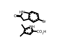 Cc1cc(C(=O)O)[nH]c1C.O=C1Cc2cc(Br)ccc2N1